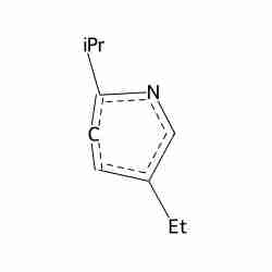 CCc1ccc(C(C)C)nc1